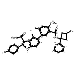 CNC(=O)c1c(-c2ccc(F)cc2)oc2ccc(-c3cc(C(=O)NC4(c5ncccn5)CC(F)C4)c(OC)cc3C)c(F)c12